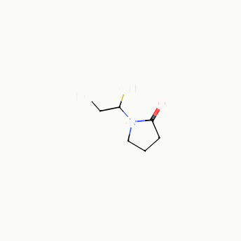 CCC(S)N1CCCC1=O